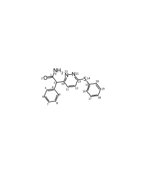 NC(=O)C(c1ccccc1)c1ccc(Sc2ccccc2)nn1